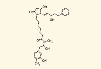 Cc1ccc(CC(O)N(C)C(=O)CCCCCC[C@H]2C(=O)C[C@@H](O)[C@@H]2/C=C/[C@@H](O)CCc2ccccc2)cc1O